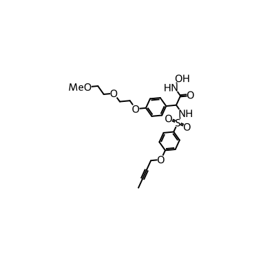 CC#CCOc1ccc(S(=O)(=O)NC(C(=O)NO)c2ccc(OCCOCCOC)cc2)cc1